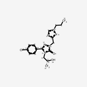 O=c1n(Cc2ncn(CCC(F)(F)F)n2)nc(-c2ccc(Cl)cc2)n1C[C@H](O)C(F)(F)F